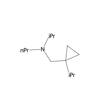 CCCN(CC1(C(C)C)CC1)C(C)C